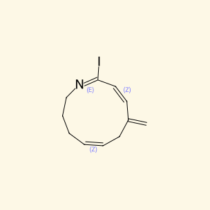 C=C1/C=C\C(I)=N/CCC/C=C\C1